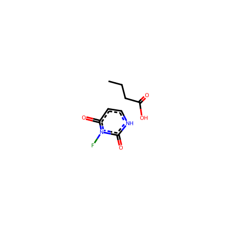 CCCC(=O)O.O=c1cc[nH]c(=O)n1F